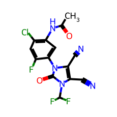 CC(=O)Nc1cc(-n2c(C#N)c(C#N)n(C(F)F)c2=O)c(F)cc1Cl